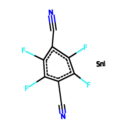 N#Cc1c(F)c(F)c(C#N)c(F)c1F.[Sn]